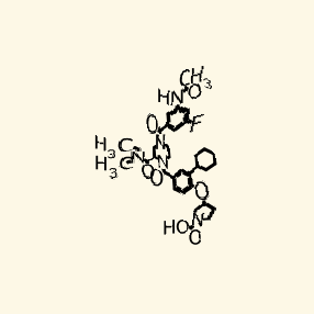 CCN(C)C(=O)[C@H]1CN(C(=O)c2cc(F)cc(NC(C)=O)c2)CCN1C(=O)c1ccc(OC2CCN(C(=O)O)C2)c(C2CCCCC2)c1